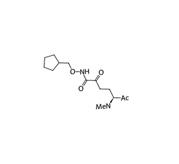 CN[C@@H](CCC(=O)C(=O)NOCC1CCCC1)C(C)=O